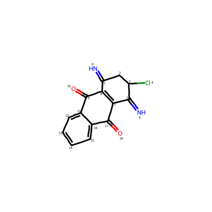 N=C1CC(Cl)C(=N)C2=C1C(=O)c1ccccc1C2=O